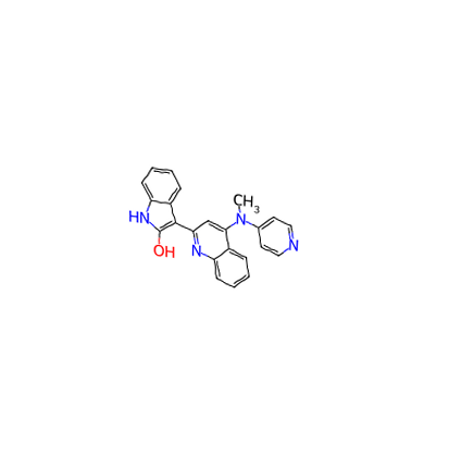 CN(c1ccncc1)c1cc(-c2c(O)[nH]c3ccccc23)nc2ccccc12